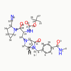 CNC(=O)c1ccc([C@H](C)N2C(=O)C3C[C@H]2CN3CC(NC(=O)OC(C)(C)C)C(=O)N2C(C#N)CC3CC32)cc1